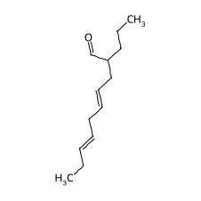 CC/C=C/C/C=C/CC(C=O)CCC